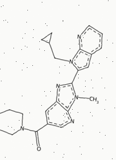 Cn1c(-c2cc3cccnc3n2CC2CC2)nc2cc(C(=O)N3CCC[C@H](F)C3)cnc21